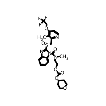 Cc1c(OCC(F)(F)F)ccnc1C[S@@+]([O-])c1nc2ccccc2n1C(=O)N(C)CCOC(=O)OC1CCOCC1